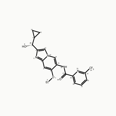 CCOc1cc2nc([C@H](O)C3CC3)cn2cc1NC(=O)c1cccc(C(F)(F)F)n1